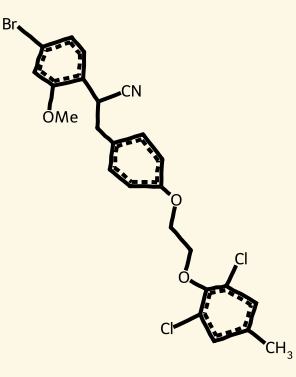 COc1cc(Br)ccc1C(C#N)Cc1ccc(OCCOc2c(Cl)cc(C)cc2Cl)cc1